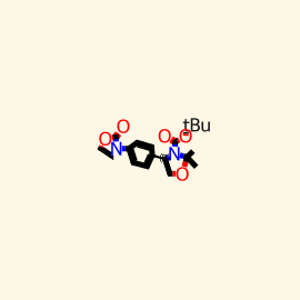 CC(C)(C)OC(=O)N1[C@H](c2ccc(N3CCOC3=O)cc2)COC1(C)C